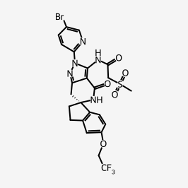 CS(=O)(=O)CC(=O)Nc1c2c(nn1-c1ccc(Br)cn1)C[C@]1(CCc3cc(OCC(F)(F)F)ccc31)NC2=O